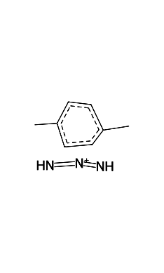 Cc1ccc(C)cc1.N=[N+]=N